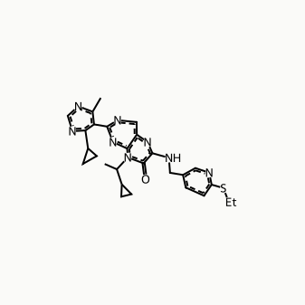 CCSc1ccc(CNc2nc3cnc(-c4c(C)ncnc4C4CC4)nc3n(C(C)C3CC3)c2=O)cn1